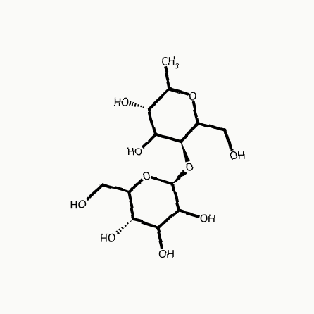 CC1OC(CO)[C@@H](O[C@@H]2OC(CO)[C@@H](O)C(O)C2O)C(O)[C@@H]1O